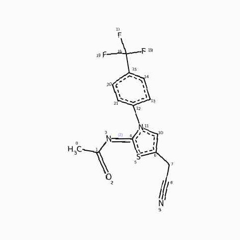 CC(=O)/N=c1\sc(CC#N)cn1-c1ccc(C(F)(F)F)cc1